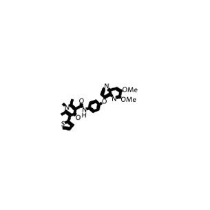 COc1cc2nccc(Oc3ccc(NC(=O)c4c(C)n(C)c(C)c(-c5cccs5)c4=O)cc3)c2nc1OC